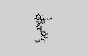 CC(C)(C)OC(=O)Nc1ccc(-c2ccc(C(=O)NC(C(=O)O)C3CCCCC3)o2)cc1